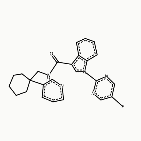 O=C(NCC1(c2cccnc2)CCCCC1)c1cn(-c2ncc(F)cn2)c2ccccc12